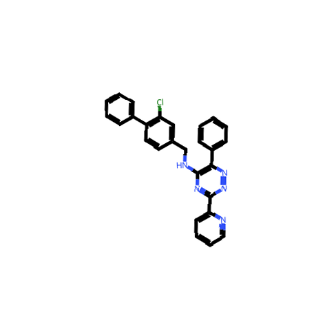 Clc1cc(CNc2nc(-c3ccccn3)nnc2-c2ccccc2)ccc1-c1ccccc1